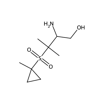 CC1(S(=O)(=O)C(C)(C)C(N)CO)CC1